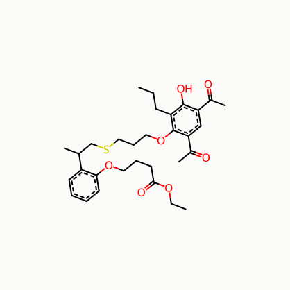 CCCc1c(O)c(C(C)=O)cc(C(C)=O)c1OCCCSCC(C)c1ccccc1OCCCC(=O)OCC